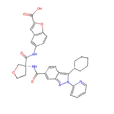 O=C(N[C@]1(C(=O)Nc2ccc3oc(C(=O)O)cc3c2)CCOC1)c1ccc2c(C3CCCCC3)n(-c3ccccn3)nc2c1